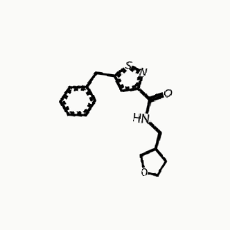 O=C(NCC1CCOC1)c1cc(Cc2ccccc2)sn1